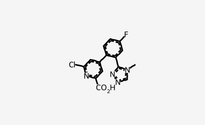 Cn1cnnc1-c1cc(F)ccc1-c1cc(Cl)nc(C(=O)O)c1